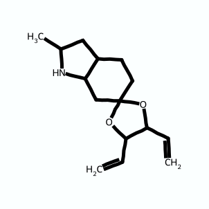 C=CC1OC2(CCC3CC(C)NC3C2)OC1C=C